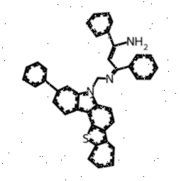 N/C(=C\C(=N/Cn1c2cc(-c3ccccc3)ccc2c2c3sc4ccccc4c3ccc21)c1ccccc1)c1ccccc1